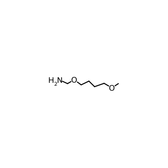 COCCCCOCN